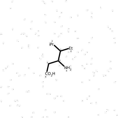 CCC(C(C)C)C(N)CC(=O)O